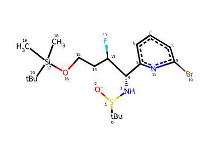 CC(C)(C)[S+]([O-])N[C@@H](c1cccc(Br)n1)[C@H](F)CCO[Si](C)(C)C(C)(C)C